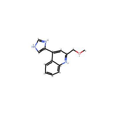 COCc1cc(-c2c[nH]cn2)c2ccccc2n1